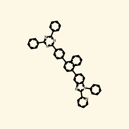 c1ccc(-c2nc(-c3ccccc3)nc(-c3ccc(-c4ccc(-c5ccc6c(c5)nc(-c5ccccn5)n6-c5ccccc5)c5ccccc45)cc3)n2)cc1